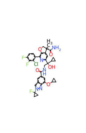 C[C@]1(C(N)=O)COc2c1cc(C(O)(CNC(=O)c1cc(OC3CC3)c3nn(C4(F)CC4)cc3c1)C1CC1)nc2-c1ccc(F)c(F)c1Cl